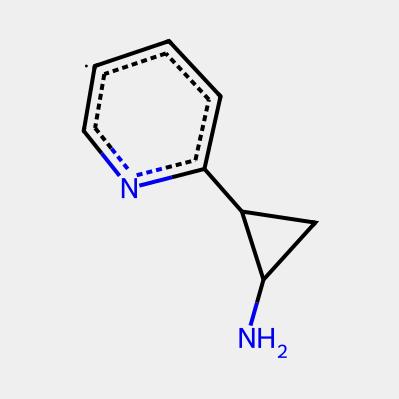 NC1CC1c1cc[c]cn1